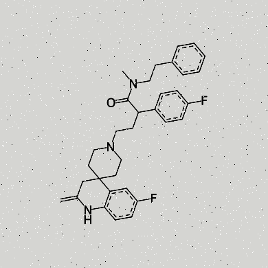 C=C1CC2(CCN(CCC(C(=O)N(C)CCc3ccccc3)c3ccc(F)cc3)CC2)c2cc(F)ccc2N1